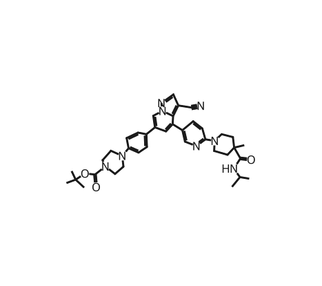 CC(C)NC(=O)C1(C)CCN(c2ccc(-c3cc(-c4ccc(N5CCN(C(=O)OC(C)(C)C)CC5)cc4)cn4ncc(C#N)c34)cn2)CC1